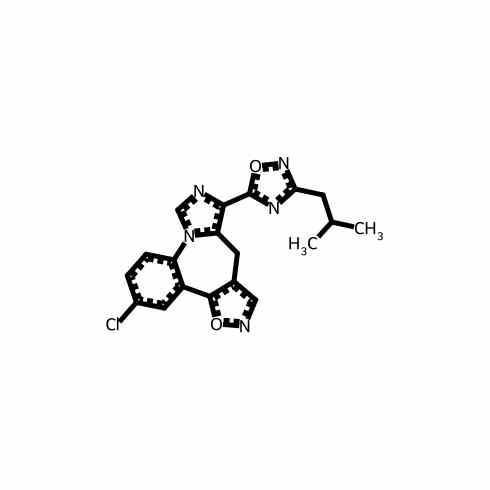 CC(C)Cc1noc(-c2ncn3c2Cc2cnoc2-c2cc(Cl)ccc2-3)n1